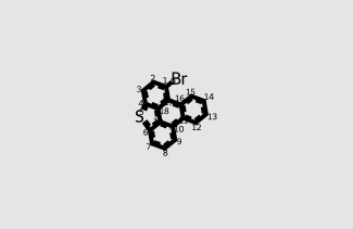 Brc1ccc2sc3cccc4c5ccccc5c1c2c34